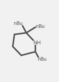 CCCCC1CCCC(CCCC)(CCCC)N1